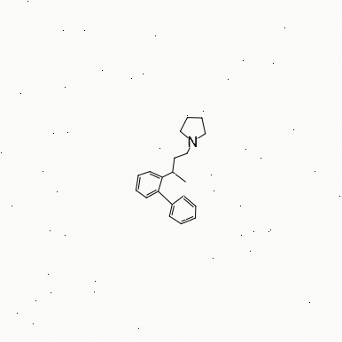 CC(CCN1CCCC1)c1ccccc1-c1ccccc1